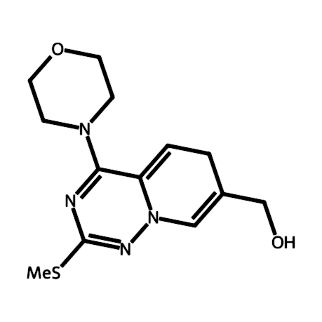 CSC1=NN2C=C(CO)CC=C2C(N2CCOCC2)=N1